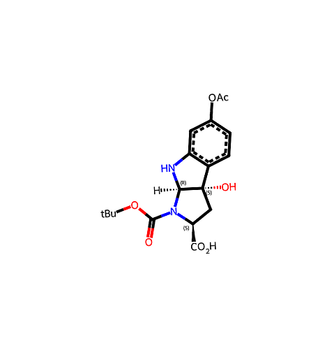 CC(=O)Oc1ccc2c(c1)N[C@@H]1N(C(=O)OC(C)(C)C)[C@H](C(=O)O)C[C@]21O